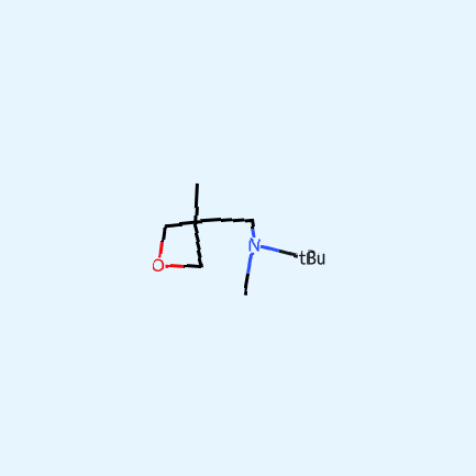 CN(CC1(C)COC1)C(C)(C)C